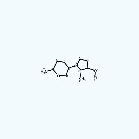 CCOC1CCN([C@@H]2CCC(C)OC2)[C@H]1C